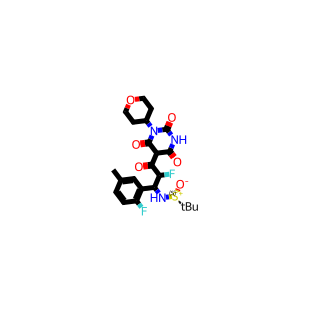 Cc1ccc(F)c(C(N[S@+]([O-])C(C)(C)C)C(F)C(=O)C2C(=O)NC(=O)N(C3CCOCC3)C2=O)c1